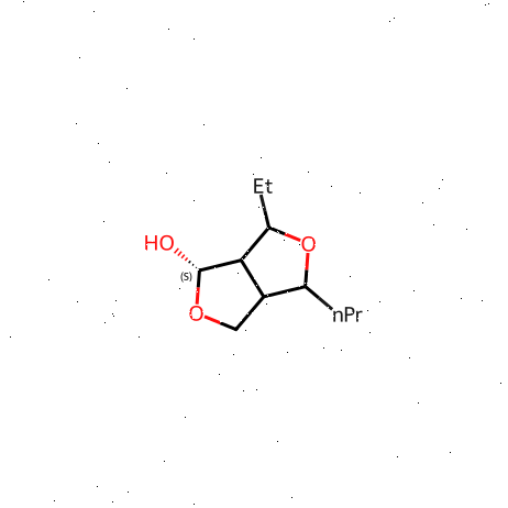 CCCC1OC(CC)C2C1CO[C@@H]2O